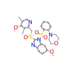 COc1ccc2nc([S+]([O-])Cc3ncc(C)c(OC)c3C)n(S(=O)(=O)c3ccccc3N3CCOCC3)c2c1